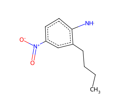 CCCCc1cc([N+](=O)[O-])ccc1[NH]